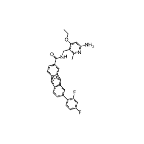 CCOc1cc(N)nc(C)c1CNC(=O)c1ccc2c(c1)c1oc2c2ccc(-c3ccc(F)cc3F)cc21